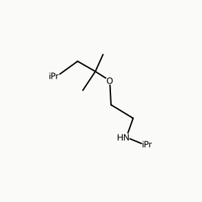 CC(C)CC(C)(C)OCCNC(C)C